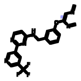 C=N/C=C(\N=C)Oc1cccc(CNc2ccnc(-c3cncc(C(F)(F)F)c3)n2)c1